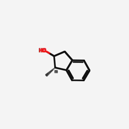 C[C@H]1c2ccccc2CC1O